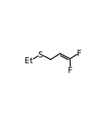 CCSCC=C(F)F